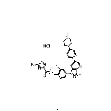 CC(C)(C)c1nc(C(=O)NCc2ccc(-c3n[nH]c4ncc(-c5ccc(C6CCNCC6)cc5)cc34)cc2F)no1.Cl